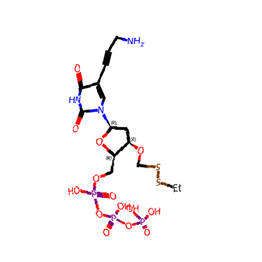 CCSSCO[C@@H]1C[C@H](n2cc(C#CCN)c(=O)[nH]c2=O)O[C@@H]1COP(=O)(O)OP(=O)(O)OP(=O)(O)O